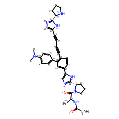 COC(=O)N[C@H](C(=O)N1CCC[C@H]1c1ncc(-c2ccc(C#CC#Cc3cnc([C@@H]4CCCN4)[nH]3)c(-c3ccc(N(C)C)cc3)c2)[nH]1)C(C)C